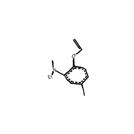 C=COc1ccc(C)cc1N(C)CC